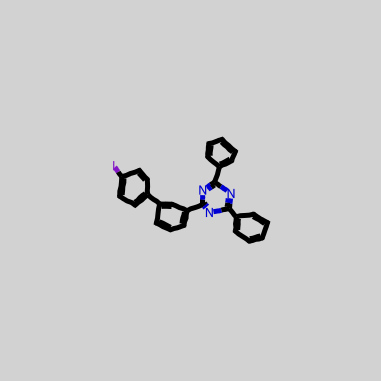 Ic1ccc(-c2cccc(-c3nc(-c4ccccc4)nc(-c4ccccc4)n3)c2)cc1